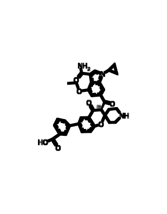 CCOc1cc(C(=O)[C@@H]2C(=O)c3cc(-c4cccc(C(=O)O)c4)ccc3OC23CCNCC3)cc2c1c(C(N)=O)cn2C1CC1